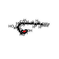 COC(CNC(=O)CNC(=O)CNC(=O)COCCOCCNC(=O)CC[C@H](NC(=O)CC[C@H](NC(=O)CC[C@@H](C)[C@H]1CC[C@H]2[C@@H]3[C@H](O)C[C@@H]4C[C@H](O)CC[C@]4(C)[C@H]3C[C@H](O)[C@]12C)C(=O)O)C(=O)O)OC